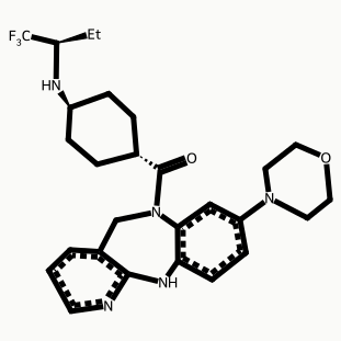 CC[C@@H](N[C@H]1CC[C@H](C(=O)N2Cc3cccnc3Nc3ccc(N4CCOCC4)cc32)CC1)C(F)(F)F